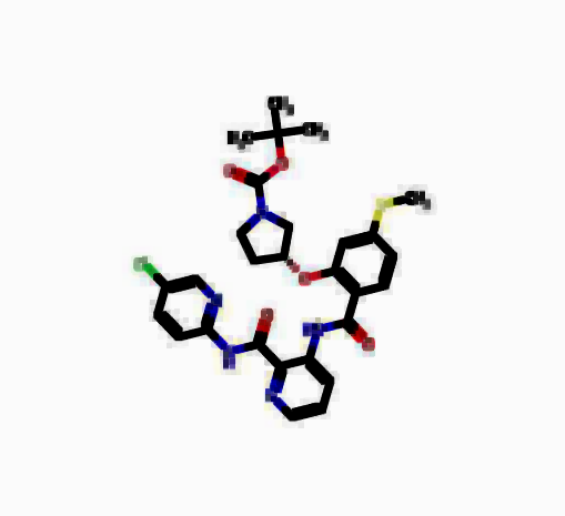 CSc1ccc(C(=O)Nc2cccnc2C(=O)Nc2ccc(Cl)cn2)c(O[C@@H]2CCN(C(=O)OC(C)(C)C)C2)c1